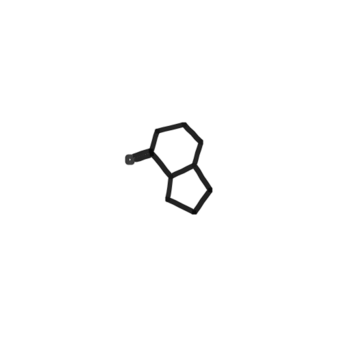 O=C1CCCC2CCCC12